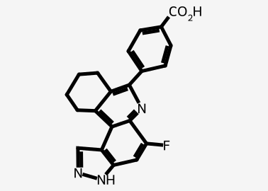 O=C(O)c1ccc(-c2nc3c(F)cc4[nH]ncc4c3c3c2CCCC3)cc1